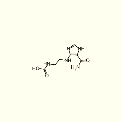 NC(=O)c1[nH]cnc1NCCNC(=O)O